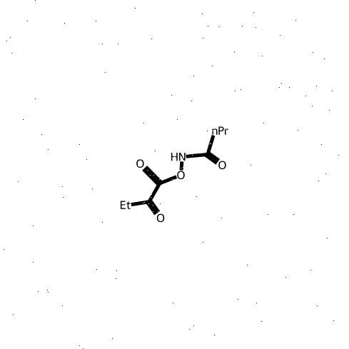 CCCC(=O)NOC(=O)C(=O)CC